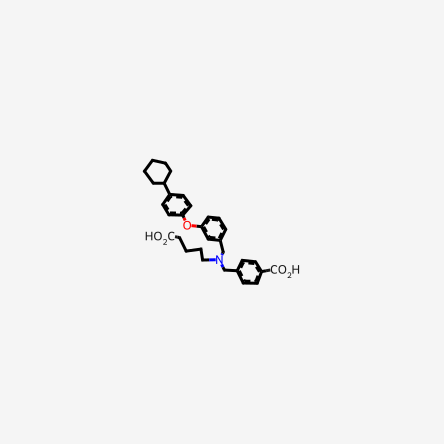 O=C(O)CCCCN(Cc1ccc(C(=O)O)cc1)Cc1cccc(Oc2ccc(C3CCCCC3)cc2)c1